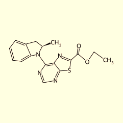 CCOC(=O)c1nc2c(N3c4ccccc4C[C@H]3C)ncnc2s1